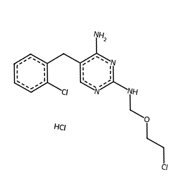 Cl.Nc1nc(NCOCCCl)ncc1Cc1ccccc1Cl